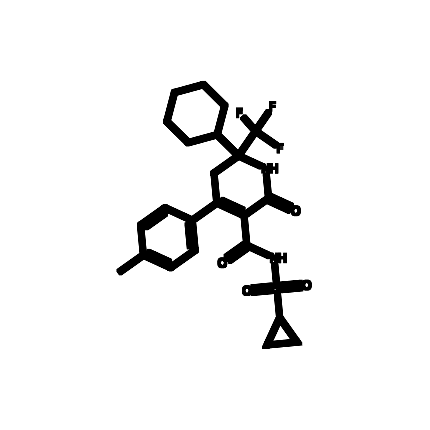 Cc1ccc(C2=C(C(=O)NS(=O)(=O)C3CC3)C(=O)NC(C3CCCCC3)(C(F)(F)F)C2)cc1